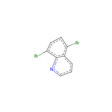 Brc1ccc(Br)c2ncccc12